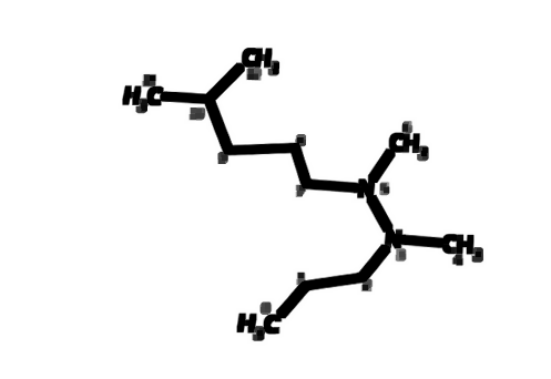 CCCN(C)N(C)CCCC(C)C